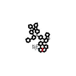 Cc1ccccc1-c1c(C)ccc(-c2ccc3oc4ccccc4c3c2-c2ccc(N(c3ccc(-c4ccccc4)cc3)c3ccc4c(c3)C(c3ccccc3)(c3ccccc3)c3ccccc3-4)cc2)c1-c1cccc2ccccc12